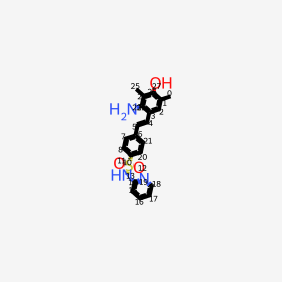 Cc1cc(/C=C/c2ccc(S(=O)(=O)Nc3ccccn3)cc2)c(N)c(C)c1O